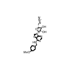 COc1ccc(CNc2ncnc3c2ncn3[C@@H]2O[C@H](CN=[N+]=[N-])C(O)[C@@H]2O)cc1